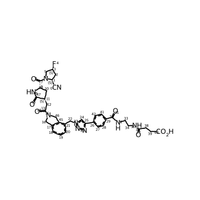 N#C[C@@H]1C[C@H](F)CN1C(=O)[C@@H]1C[C@@H](CC(=O)N2Cc3cccc(Cn4cc(-c5ccc(C(=O)NCCNC(=O)CCC(=O)O)cc5)nn4)c3C2)C(=O)N1